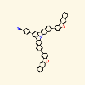 N#Cc1ccc(-c2cc3c4cc5ccc(-c6ccc7oc8cc9ccccc9cc8c7c6)cc5cc4n4c5cc6cc(-c7ccc8oc9cc%10ccccc%10cc9c8c7)ccc6cc5c(c2)c34)cc1